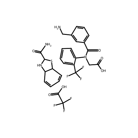 NC(=O)C1NC2C=CC=CC2S1.NCc1cccc(C(=O)N(CC(=O)O)c2ccccc2C(F)(F)F)c1.O=C(O)C(F)(F)F